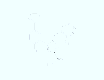 Cc1cnccc1Cn1nc(C(N)=O)cc1-c1cc(-c2nccs2)ccc1C